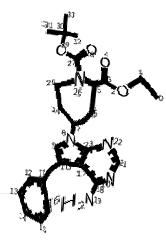 CCOC(=O)C1CC(n2cc(-c3ccccc3)c3c(N)ncnc32)CCN1C(=O)OC(C)(C)C